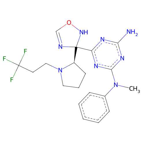 CN(c1ccccc1)c1nc(N)nc(C2([C@H]3CCCN3CCC(F)(F)F)N=CON2)n1